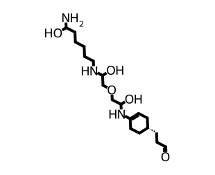 NC(O)CCCCCNC(O)COCC(O)NC1=CC[C@H](CCC=O)CC1